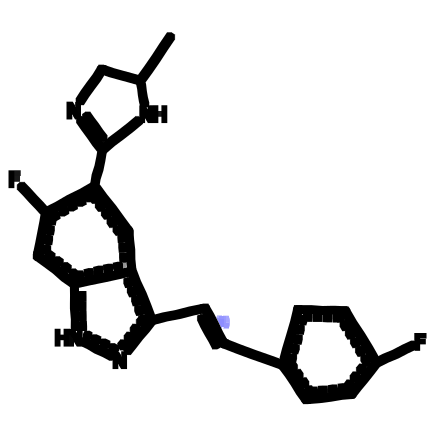 CC1CN=C(c2cc3c(/C=C/c4ccc(F)cc4)n[nH]c3cc2F)N1